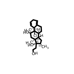 C[C@H]1C[C@H]2[C@@H]3CCC4=CCC=C[C@]4(C)[C@@]3(Cl)[C@@H](O)C[C@]2(C)[C@@]1(O)CCO